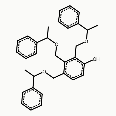 CC(OCc1ccc(O)c(COC(C)c2ccccc2)c1COC(C)c1ccccc1)c1ccccc1